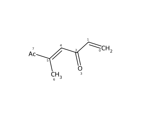 C=CC(=O)C=C(C)C(C)=O